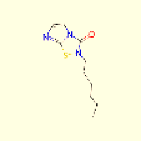 CCCCCCn1sc2nccn2c1=O